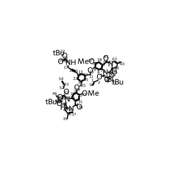 C=CCOC(=O)N1c2cc(OCc3cc(C#CCNC(=O)OC(C)(C)C)cc(COc4cc5c(cc4OC)C(=O)N4C=C(C)C[C@H]4[C@H](O[Si](C)(C)C(C)(C)C)N5C(=O)OCC=C)c3)c(OC)cc2C(=O)N2C=C(C)C[C@H]2[C@@H]1O[Si](C)(C)C(C)(C)C